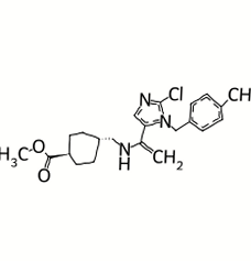 C=C(NC[C@H]1CC[C@H](C(=O)OC)CC1)c1cnc(Cl)n1Cc1ccc(C)cc1